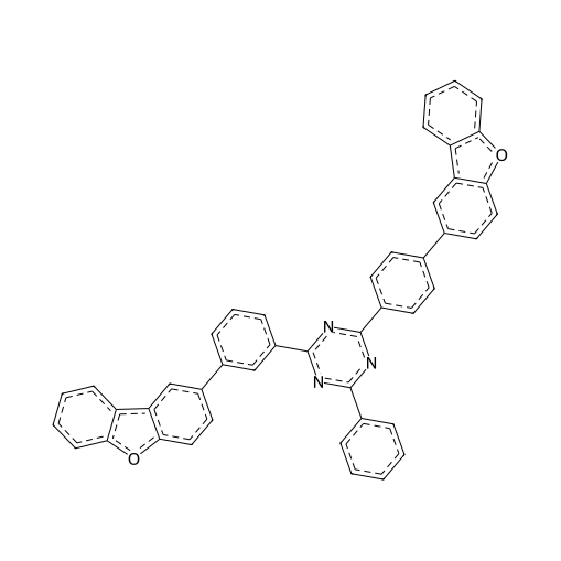 c1ccc(-c2nc(-c3ccc(-c4ccc5oc6ccccc6c5c4)cc3)nc(-c3cccc(-c4ccc5oc6ccccc6c5c4)c3)n2)cc1